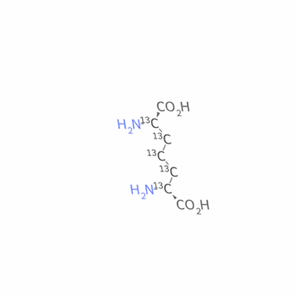 N[13C@H]([13CH2][13CH2][13CH2][13C@H](N)[13C](=O)O)[13C](=O)O